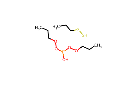 CCCOOP(O)OOCCC.CCCSS